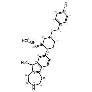 Cl.Cl.Cn1c2c(c3ccc(N4CCN(CCc5ccc(Cl)cc5)CC4=O)cc31)CCNCC2